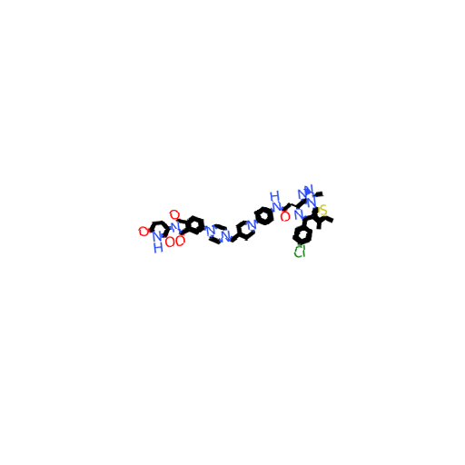 Cc1sc2c(c1C)C(c1ccc(Cl)cc1)=N[C@@H](CC(=O)Nc1ccc(N3CCC(CN4CCN(c5ccc6c(c5)C(=O)N(C5CCC(=O)NC5=O)C6=O)CC4)CC3)cc1)c1nnc(C)n1-2